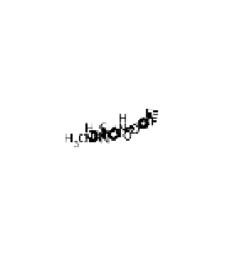 CN1CCN(c2nc3ccc(NC(=O)COc4ccc(C(F)(F)F)cc4)cc3n2C)CC1